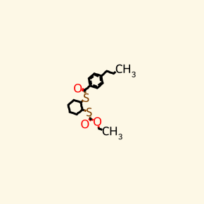 CCCc1ccc(C(=O)SC2CCCCC2SC(=O)OCC)cc1